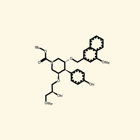 COC[C@H](O)CO[C@H]1CN(C(=O)OC(C)(C)C)C[C@H](OCc2cc(OC)c3ccccc3c2)[C@H]1c1ccc(O)cc1